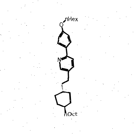 CCCCCCCC[C@H]1CC[C@H](CCc2ccc(-c3ccc(OCCCCCC)cc3)nc2)CC1